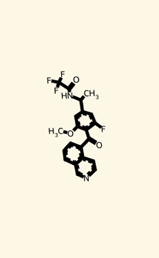 COc1cc(C(C)NC(=O)C(F)(F)F)cc(F)c1C(=O)c1cccc2cnccc12